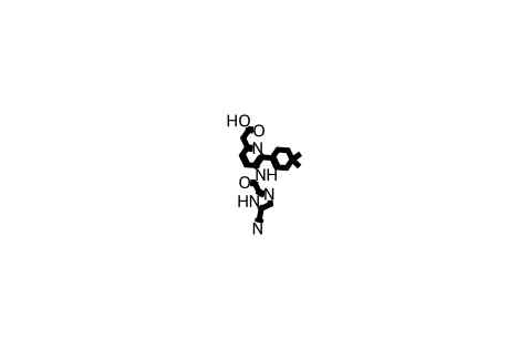 CC1(C)CC=C(c2nc(CC(=O)O)ccc2NC(=O)C2=NCC(C#N)N2)CC1